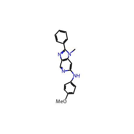 COc1ccc(Nc2cc3c(cn2)nc(-c2ccccc2)n3C)cc1